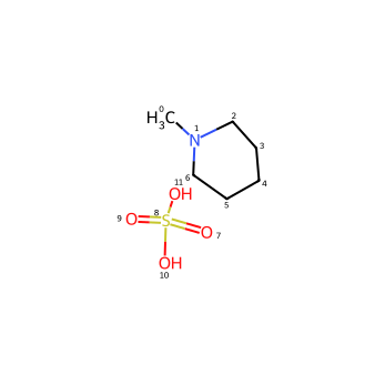 CN1CCCCC1.O=S(=O)(O)O